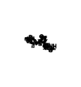 CCS(=O)(=O)N1CCN(Cc2cc3c(=O)n(C)cc(-c4ccnc(NC(C)=O)c4)c3s2)[C@H](C)C1